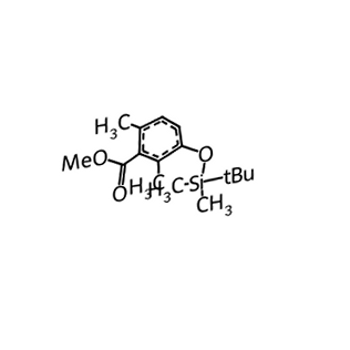 COC(=O)c1c(C)ccc(O[Si](C)(C)C(C)(C)C)c1C